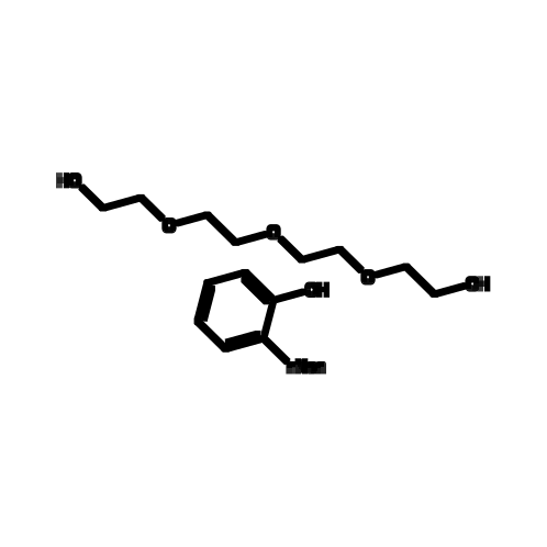 CCCCCCCCCc1ccccc1O.OCCOCCOCCOCCO